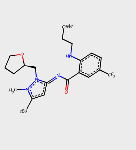 COCCNc1ccc(C(F)(F)F)cc1C(=O)/N=c1\cc(C(C)(C)C)n(C)n1C[C@H]1CCCO1